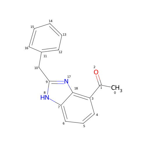 CC(=O)c1cccc2[nH]c(Cc3ccccc3)nc12